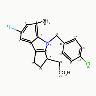 Bc1cc(F)cc2c3c(n(Cc4ccc(Cl)cc4)c12)C(CC(=O)O)CC3